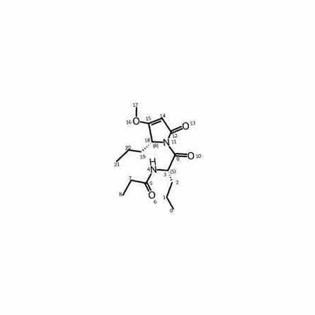 CCC[C@H](NC(=O)CC)C(=O)N1C(=O)C=C(OC)[C@H]1CCC